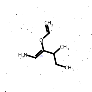 C=CO/C(=C\N)C(C)CC